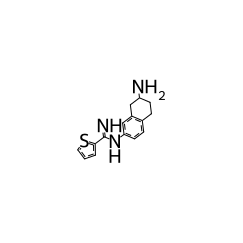 N=C(Nc1ccc2c(c1)CC(N)CC2)c1cccs1